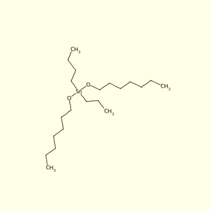 CCCCCCC[O][Sn]([CH2]CC)([CH2]CCC)[O]CCCCCCC